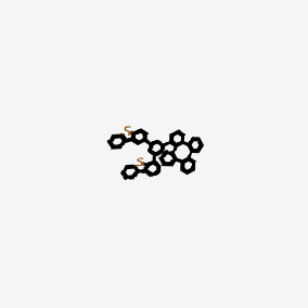 c1ccc2c(c1)-c1ccccc1-c1cccc(-c3cc(-c4ccc5sc6ccccc6c5c4)cc(-c4cccc5c4sc4ccccc45)c3)c1-c1ccccc1-2